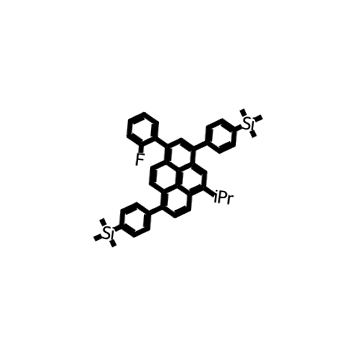 CC(C)c1cc2c(-c3ccc([Si](C)(C)C)cc3)cc(-c3ccccc3F)c3ccc4c(-c5ccc([Si](C)(C)C)cc5)ccc1c4c23